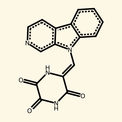 O=C1NC(=O)C(=Cn2c3ccccc3c3ccncc32)NC1=O